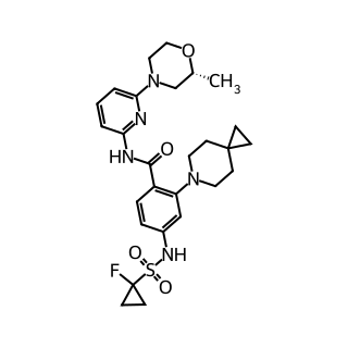 C[C@@H]1CN(c2cccc(NC(=O)c3ccc(NS(=O)(=O)C4(F)CC4)cc3N3CCC4(CC3)CC4)n2)CCO1